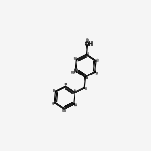 Oc1ccc(Cc2ccccc2)nc1